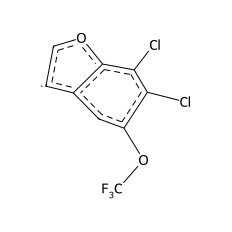 FC(F)(F)Oc1cc2[c]coc2c(Cl)c1Cl